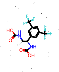 C[C@H](NC(=O)O)[C@H](NC(=O)O)c1cc(C(F)(F)F)cc(C(F)(F)F)c1